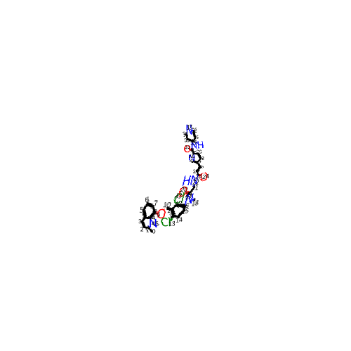 Cc1ccc2cccc(OCc3c(Cl)ccc(N(C)C(=O)CNC(=O)C=Cc4ccc(C(=O)Nc5ccncc5)nc4)c3Cl)c2n1